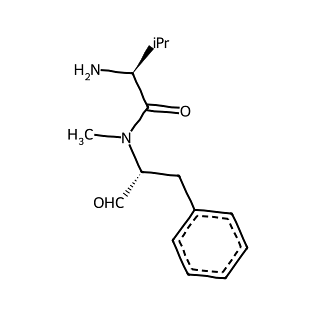 CC(C)[C@H](N)C(=O)N(C)[C@@H](C=O)Cc1ccccc1